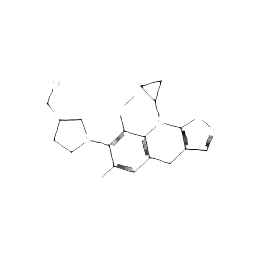 COc1c(N2CC[C@@H](CN)C2)c(F)cc2c1N(C1CC1)c1sncc1C2